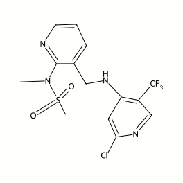 CN(c1ncccc1CNc1cc(Cl)ncc1C(F)(F)F)S(C)(=O)=O